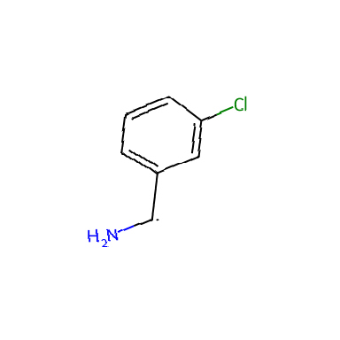 N[CH]c1cccc(Cl)c1